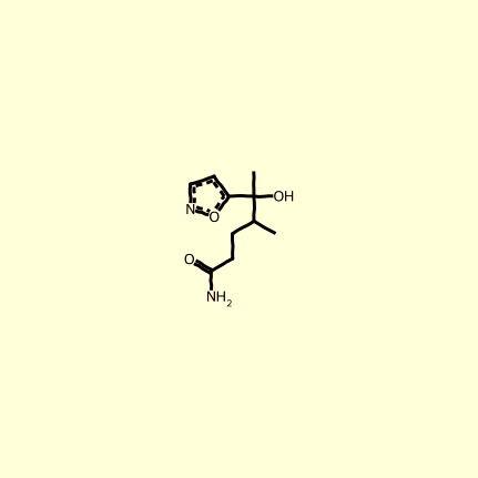 CC(CCC(N)=O)C(C)(O)c1ccno1